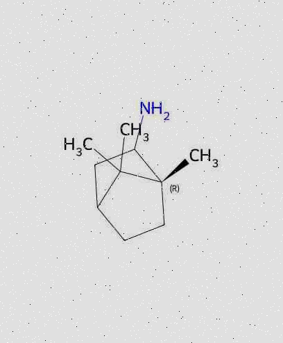 CC1(C)C2CC[C@@]1(C)C(N)C2